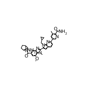 COc1cc(C(=O)N2CC3CCC2C3N)cc2nc(-c3cc4ccc(-c5cnc(C(N)=O)c(C)c5)nc4n3CC3CC3)n(C)c12